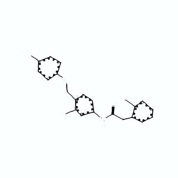 O=C(Cc1ccccc1Cl)Nc1ccc(COc2ccc(F)cc2)c(Br)c1